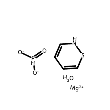 C1=CNSC=C1.O.O=[PH]([O-])[O-].[Mg+2]